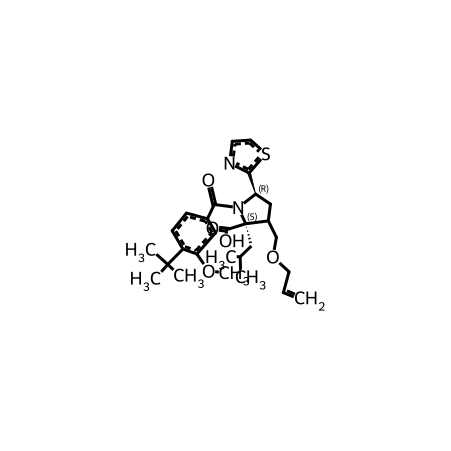 C=CCOCC1C[C@H](c2nccs2)N(C(=O)c2ccc(C(C)(C)C)c(OC)c2)[C@]1(CC(C)C)C(=O)O